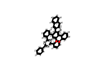 c1ccc(-c2nc(-c3ccccc3)nc(-c3ccccc3-c3cc4ccc5ccccc5c4c4sc5cc6ccccc6cc5c34)n2)cc1